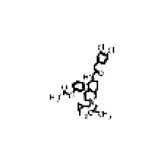 CC(=O)Oc1cccc([C@]23CC[N@+](CC(C)C)(CC4CC4)CC2CC[C@H](NC(=O)Cc2ccc(Cl)c(Cl)c2)C3)c1